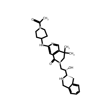 CC(=O)N1CCC(Nc2cc3c(cn2)C(C)(C)CN(C[C@H](O)[C@@H]2Cc4ccccc4CN2)C3=O)CC1